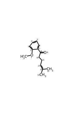 COc1ccccc1C(=O)CCC=C(C)C